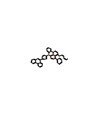 C/C=C\C=C/CC1=CCC(c2ccccc2N(c2ccc(-c3ccccc3)cc2)c2ccc(-c3cc4ccccc4c4ccccc34)cc2)C=C1